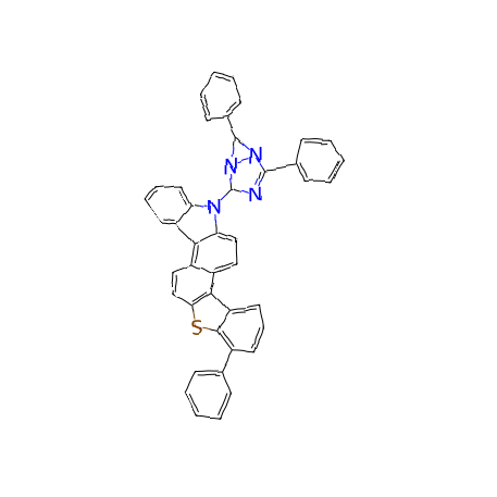 c1ccc(C2=NC(n3c4ccccc4c4c5ccc6sc7c(-c8ccccc8)cccc7c6c5ccc43)N3C(c4ccccc4)N23)cc1